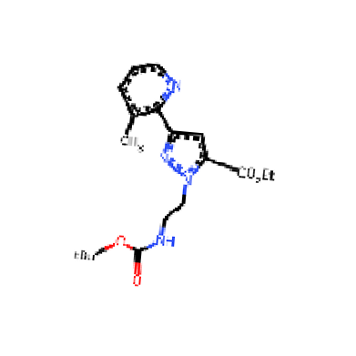 CCOC(=O)c1cc(-c2ncccc2C)nn1CCNC(=O)OC(C)(C)C